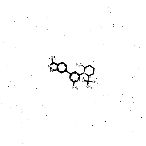 C[C@H]1CC[CH][C@@H](C(C)(C)C)N1c1cc(-c2ccc3c(N)n[nH]c3c2)nc(N)n1